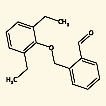 CCc1cccc(CC)c1OCc1ccccc1C=O